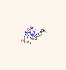 COC(=O)C1CC2CC(CC(Nc3nc(Nc4cc5c(cc4OC)CCN(C)C5)ncc3C(N)=O)C2)C1